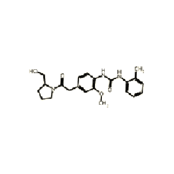 COc1cc(CC(=O)N2CCCC2CO)ccc1NC(=O)Nc1ccccc1C